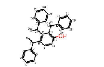 CC(c1ccccc1)c1ccc(O)c(C(C)c2ccccc2)c1C(C)c1ccccc1